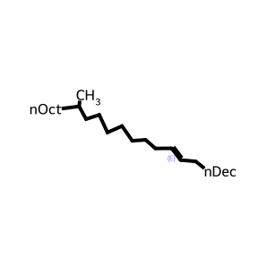 [CH2]CCCCCCCCCC/C=C/CCCCCCCC(C)CCCCCCC[CH2]